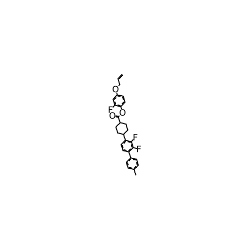 C=CCOc1ccc(OC(=O)C2CCC(c3ccc(-c4ccc(C)cc4)c(F)c3F)CC2)c(F)c1